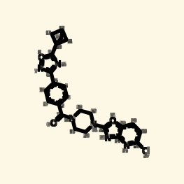 O=C(c1ccc(-c2noc(C34CC(C3)C4)n2)cc1)N1CCN(c2nc3nc(Cl)ccc3o2)CC1